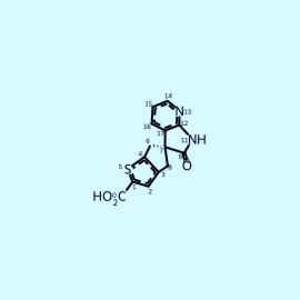 O=C(O)c1cc2c(s1)C[C@@]1(C2)C(=O)Nc2ncccc21